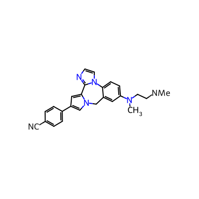 CNCCN(C)c1ccc2c(c1)Cn1cc(-c3ccc(C#N)cc3)cc1-c1nccn1-2